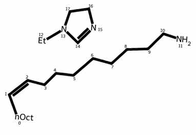 CCCCCCCC/C=C\CCCCCCCCN.CCN1C=NCC1